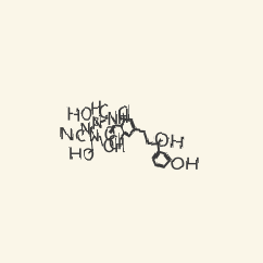 N#C/N=C(/NC[C@H](NC(=O)c1c(Cl)cc(CCC(O)c2cccc(O)c2)cc1Cl)C(=O)O)N(CCO)CCO